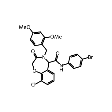 COc1ccc(CN2C(=O)COc3c(Cl)cccc3C2C(=O)Nc2ccc(Br)cc2)c(OC)c1